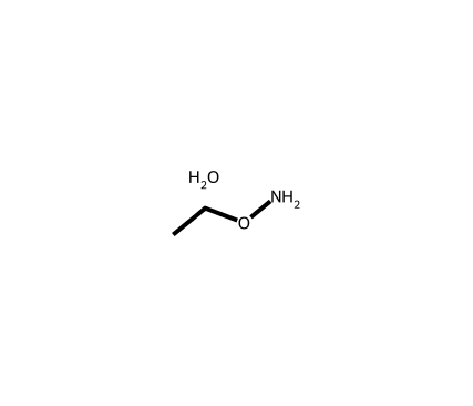 CCON.O